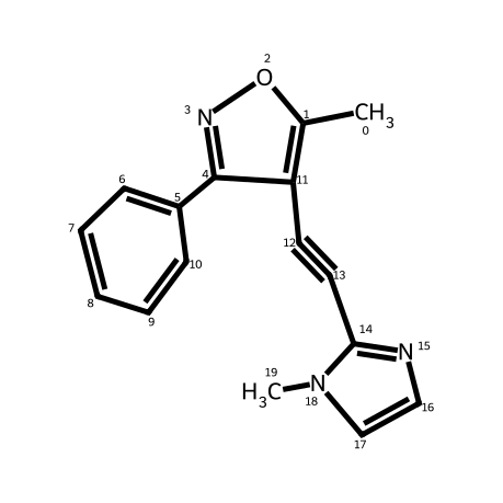 Cc1onc(-c2ccccc2)c1C#Cc1nccn1C